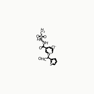 CS(=O)(=O)NNC(=O)c1ccc[n+](C(C=O)c2cccs2)c1.[Cl-]